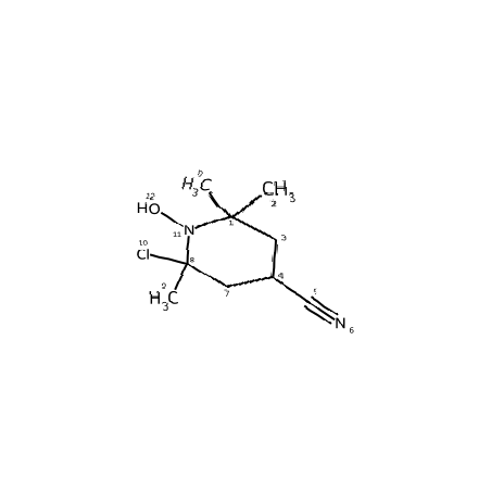 CC1(C)CC(C#N)CC(C)(Cl)N1O